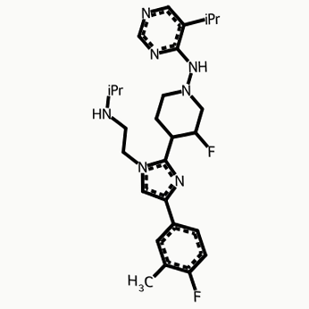 Cc1cc(-c2cn(CCNC(C)C)c(C3CCN(Nc4ncncc4C(C)C)CC3F)n2)ccc1F